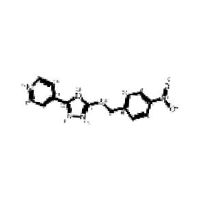 O=[N+]([O-])c1ccc(CSc2nnc(-c3ccncc3)o2)cc1